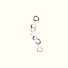 O=C(c1cn2nc(N3CCCCC3)ccc2n1)N1C[C@@H]2CN(c3ccccc3C(F)(F)F)C[C@@H]2C1